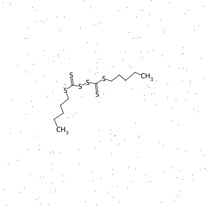 CCCCCSC(=S)SSC(=S)SCCCCC